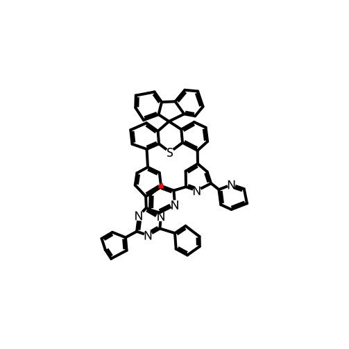 c1ccc(-c2nc(-c3ccccc3)nc(-c3ccc(-c4cccc5c4Sc4c(-c6cc(-c7ccccn7)nc(-c7ccccn7)c6)cccc4C54c5ccccc5-c5ccccc54)cc3)n2)cc1